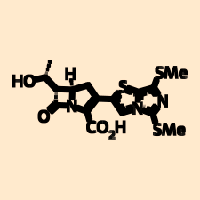 CSc1nc(SC)n2cc(C3=C(C(=O)O)N4C(=O)[C@H]([C@@H](C)O)[C@H]4C3)sc12